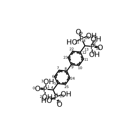 O=P(O)(O)C(c1ccc(-c2ccc(C(P(=O)(O)O)P(=O)(O)O)cc2)cc1)P(=O)(O)O